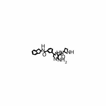 Nc1ncc(-c2cccc(C(=O)NC3Cc4ccccc4C3)c2)nc1C(=O)NC1CCNC1